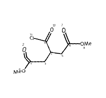 COC(=O)CC(CC(=O)OC)C(=O)Cl